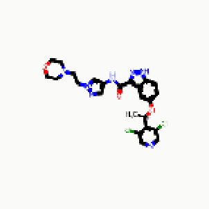 C[C@@H](Oc1ccc2[nH]nc(C(=O)Nc3cnn(CCN4CCOCC4)c3)c2c1)c1c(Cl)cncc1Cl